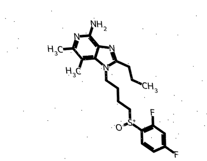 CCCc1nc2c(N)nc(C)c(C)c2n1CCCC[S+]([O-])c1ccc(F)cc1F